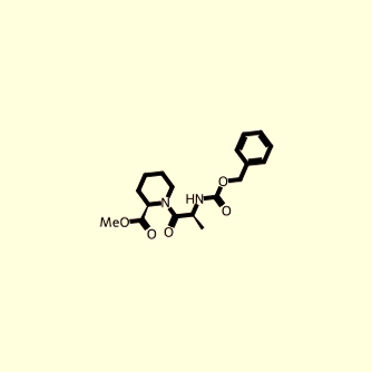 COC(=O)[C@H]1CCCCN1C(=O)[C@H](C)NC(=O)OCc1ccccc1